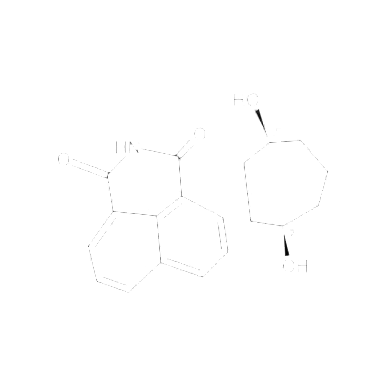 O=C1NC(=O)c2cccc3cccc1c23.O[C@@H]1CCC[C@H](O)CC1